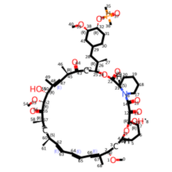 CO[C@H]1C[C@@H]2CC[C@@H](C)[C@@](O)(O2)C(=O)C(=O)N2CCCC[C@H]2C(=O)O[C@H]([C@H](C)CC2CC[C@@H](OP(C)(C)=O)[C@H](OC)C2)CC(=O)[C@H](C)/C=C(\C)[C@@H](O)[C@@H](OC)C(=O)[C@H](C)C[C@H](C)/C=C/C=C/C=C/1C